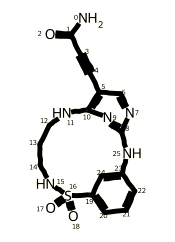 NC(=O)C#Cc1cnc2nc1NCCCNS(=O)(=O)c1cccc(c1)N2